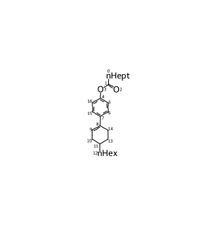 CCCCCCCC(=O)Oc1ccc(C2=CCC(CCCCCC)CC2)cc1